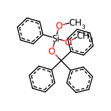 CO[Si](OC)(OC(c1ccccc1)(c1ccccc1)c1ccccc1)c1ccccc1